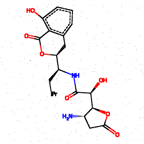 CC(C)C[C@H](NC(=O)[C@@H](O)[C@H]1OC(=O)C[C@@H]1N)[C@@H]1Cc2cccc(O)c2C(=O)O1